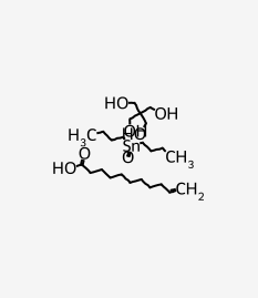 C=CCCCCCCCCC(=O)O.CCC[CH2][Sn](=[O])[CH2]CCC.OCC(CO)(CO)CO